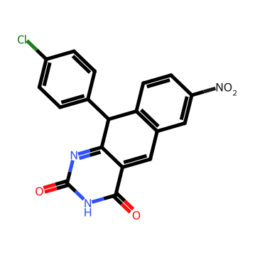 O=C1N=C2C(=Cc3cc([N+](=O)[O-])ccc3C2c2ccc(Cl)cc2)C(=O)N1